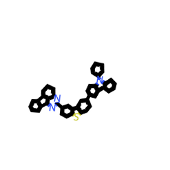 c1ccc(-n2c3ccccc3c3cc(-c4ccc5sc6ccc(-c7nc8c9c(cccc9n7)-c7ccccc7-8)cc6c5c4)ccc32)cc1